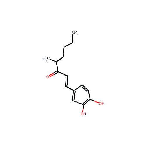 CCCCC(C)C(=O)C=Cc1ccc(O)c(O)c1